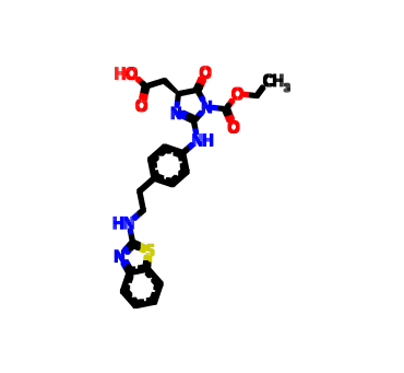 CCOC(=O)N1C(=O)[C@H](CC(=O)O)N=C1Nc1ccc(CCNc2nc3ccccc3s2)cc1